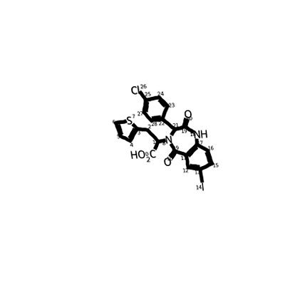 O=C(O)C(Cc1cccs1)N1C(=O)c2cc(I)ccc2NC(=O)C1c1ccc(Cl)cc1